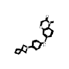 CN1C(=O)COc2cc(Nc3ccc(N4CC5(CCC5)C4)cc3)ccc21